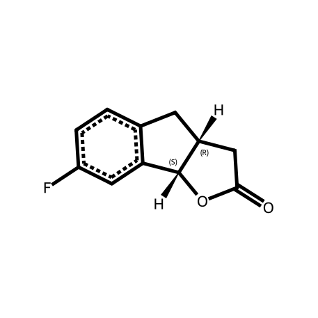 O=C1C[C@H]2Cc3ccc(F)cc3[C@H]2O1